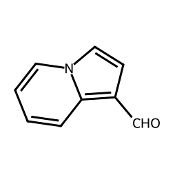 O=Cc1ccn2ccccc12